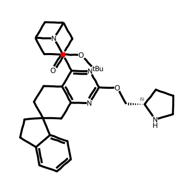 CC(C)(C)OC(=O)N1C2CC1CN(c1nc(OC[C@@H]3CCCN3)nc3c1CCC1(CCc4ccccc41)C3)C2